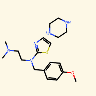 C1CNCCN1.COc1ccc(CN(CCN(C)C)c2nccs2)cc1